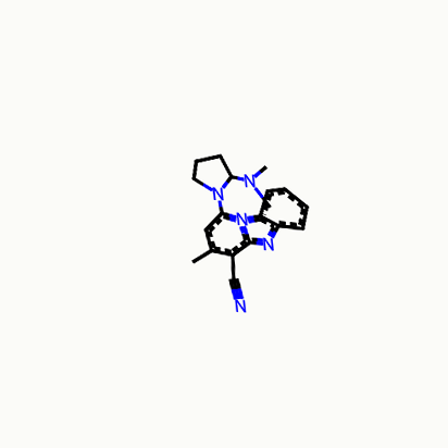 Cc1cc(N2CCCC2N(C)C)n2c(nc3ccccc32)c1C#N